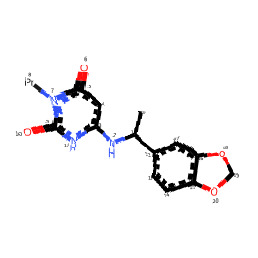 CC(Nc1cc(=O)n(C(C)C)c(=O)[nH]1)c1ccc2c(c1)OCO2